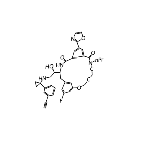 C#Cc1cccc(C2(NC[C@@H](O)[C@@H]3Cc4cc(F)cc(c4)OCCCCN(CCC)C(=O)c4cc(cc(-c5ncco5)c4)C(=O)N3)CC2)c1